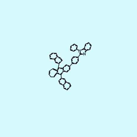 C1=CCC=c2c(-c3ccc4ccccc4c3)c3ccc(-c4ccc(-c5nc6ccccc6n5-c5ccccc5)cc4)cc3c(-c3ccc4ccccc4c3)c2=C1